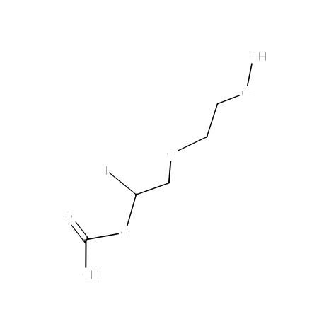 COCCOCC(I)OC(C)=O